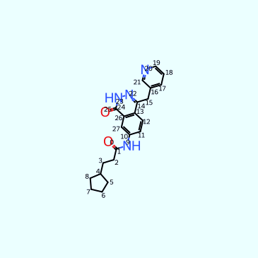 O=C(CCC1CCCC1)Nc1ccc2c(Cc3cccnc3)n[nH]c(=O)c2c1